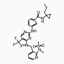 CCCC1(NC(=O)c2cccc(Nc3ncc(C(F)(F)F)c(NCc4cccnc4N(C)S(C)(=O)=O)n3)c2)CC1